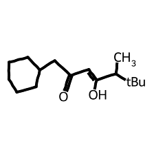 CC(/C(O)=C/C(=O)CC1CCCCC1)C(C)(C)C